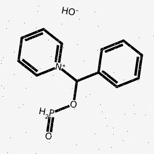 O=[PH2]OC(c1ccccc1)[n+]1ccccc1.[OH-]